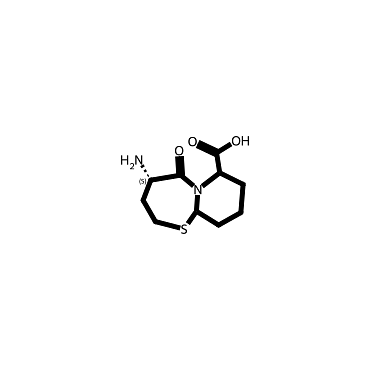 N[C@H]1CCSC2CCCC(C(=O)O)N2C1=O